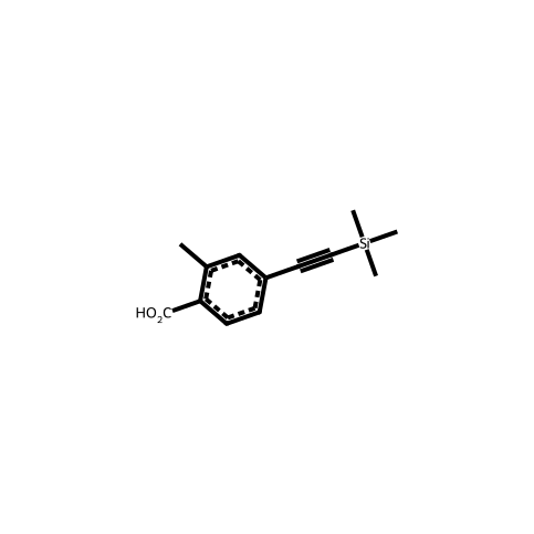 Cc1cc(C#C[Si](C)(C)C)ccc1C(=O)O